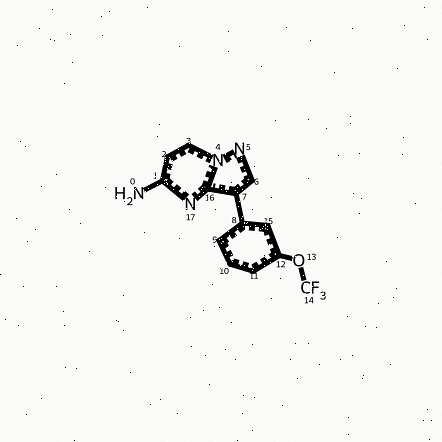 Nc1ccn2ncc(-c3cccc(OC(F)(F)F)c3)c2n1